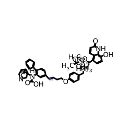 CC(C)(C)[Si](C)(C)O[C@H](CNCc1ccc(OCC/C=C/c2ccc(-c3ccccc3)c(N(C(=O)O)[C@H]3CN4CCC3CC4)c2)cc1)c1ccc(O)c2[nH]c(=O)ccc12